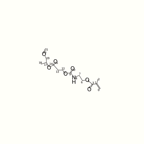 C=C(C)C(=O)OCCNC(=O)OCCC(=O)OC(C)COC